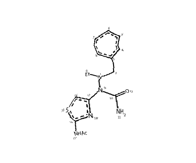 CCN(Cc1ccccc1)N(C(N)=O)c1csc(NC(C)=O)n1